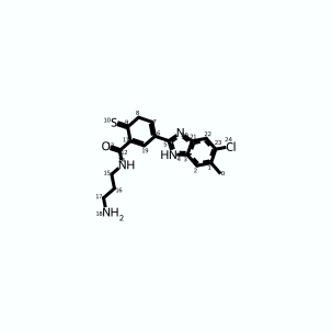 Cc1cc2[nH]c(C3=CCC(=S)C(C(=O)NCCCN)=C3)nc2cc1Cl